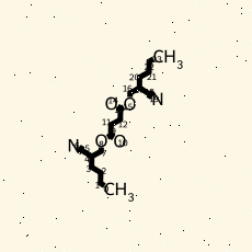 CCCCC(C#N)COC(=O)CCC(=O)OCC(C#N)CCCC